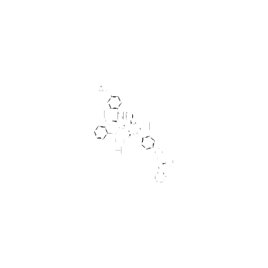 CC(=O)c1ccc(NC(=O)[C@H]([C@@H](C)c2ccccc2)N2C(=O)NC(c3ccc(OCC(=O)N4CCCC4)cc3)C2=O)c(F)c1